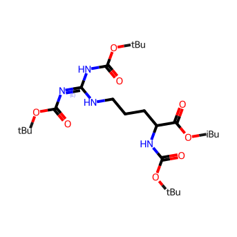 CCC(C)OC(=O)C(CCCN/C(=N\C(=O)OC(C)(C)C)NC(=O)OC(C)(C)C)NC(=O)OC(C)(C)C